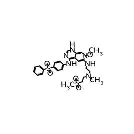 CON1C=C2NC=NC(Nc3ccc(S(=O)(=O)c4ccccc4)cc3)=C2C=C1NCCN(C)CCS(C)(=O)=O